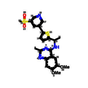 COc1cc2nc(C)nc(NC(C)c3ccc(-c4cncc(S(C)(=O)=O)c4)s3)c2cc1OC